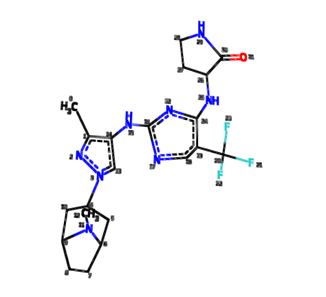 Cc1nn(C2CC3CCC(C2)N3C)cc1Nc1ncc(C(F)(F)F)c(NC2CCNC2=O)n1